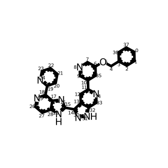 c1ccc(COc2cncc(-c3cc4c(-c5nc6c(-c7ccccn7)nccc6[nH]5)n[nH]c4cn3)c2)cc1